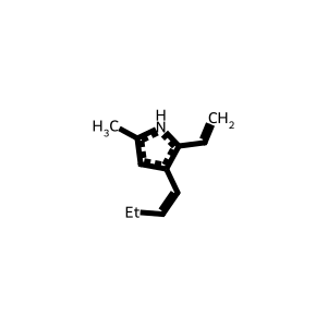 C=Cc1[nH]c(C)cc1/C=C\CC